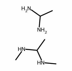 CC(N)N.CNC(C)NC